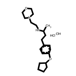 CC(CCc1ccc(OC2CCCC2)cc1)NCCN1CCOCC1.Cl.Cl